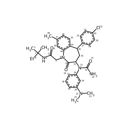 CCC(C)(C)NC(=O)CN1C(=O)C(N(C(N)=O)c2cccc(N(C)C)c2)CC(c2ccc(Cl)cc2)c2ccc(C)cc21